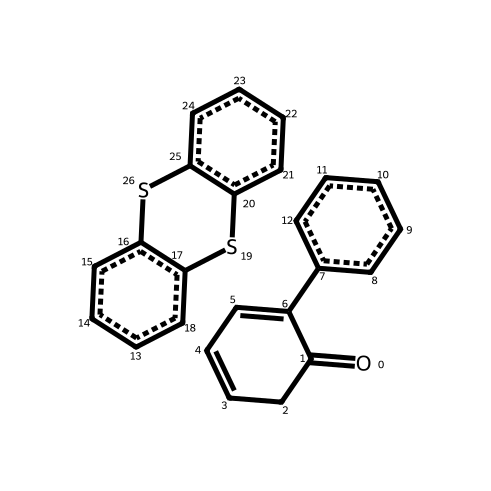 O=C1CC=CC=C1c1ccccc1.c1ccc2c(c1)Sc1ccccc1S2